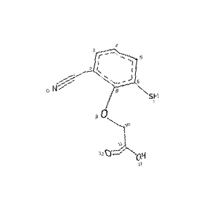 N#Cc1cccc(S)c1OCC(=O)O